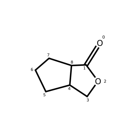 O=C1OCC2CCCC12